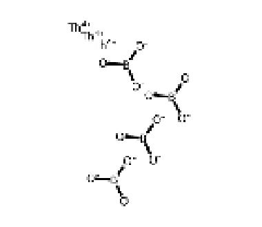 [O-]B([O-])[O-].[O-]B([O-])[O-].[O-]B([O-])[O-].[O-]B([O-])[O-].[Th+4].[Th+4].[Th+4]